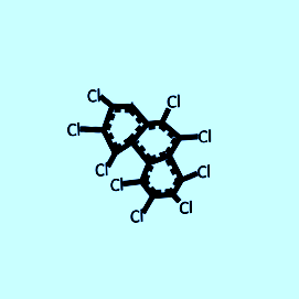 Clc1[c]c2c(Cl)c(Cl)c3c(Cl)c(Cl)c(Cl)c(Cl)c3c2c(Cl)c1Cl